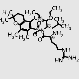 CCOC(OCC)[C@H](CC(C)C)N(C(=O)[C@H](N)CCCNC(=N)N)S(=O)(=O)c1c(C)c(C)c2c(c1C)CCC(C)(C)O2